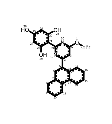 CCCOc1cc(-c2cc3ccccc3c3ccccc23)nc(-c2c(O)cc(O)cc2O)n1